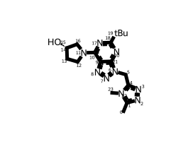 Cc1nnc(Cn2nnc3c(N4CC[C@H](O)C4)nc(C(C)(C)C)nc32)n1C